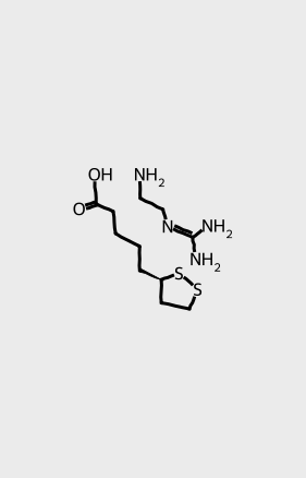 NCCN=C(N)N.O=C(O)CCCC[C@@H]1CCSS1